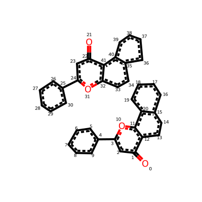 O=c1cc(-c2ccccc2)oc2c1ccc1ccccc12.O=c1cc(-c2ccccc2)oc2ccc3ccccc3c12